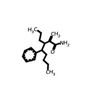 C=C(C(N)=O)C(CCC)C(CCCC)c1ccccc1